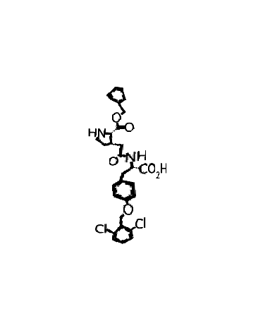 O=C(C[C@H]1CCN[C@@H]1C(=O)OCc1ccccc1)N[C@@H](Cc1ccc(OCc2c(Cl)cccc2Cl)cc1)C(=O)O